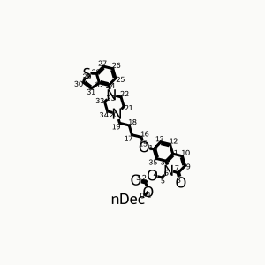 CCCCCCCCCCOC(=O)OCn1c(=O)ccc2ccc(OCCCCN3CCN(c4cccc5sccc45)CC3)cc21